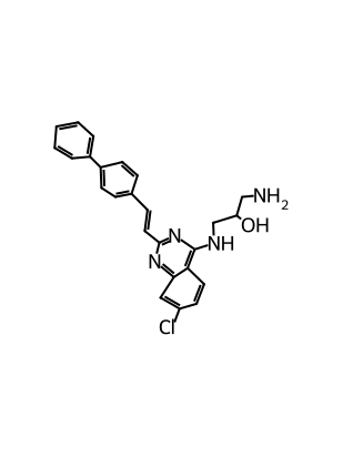 NCC(O)CNc1nc(/C=C/c2ccc(-c3ccccc3)cc2)nc2cc(Cl)ccc12